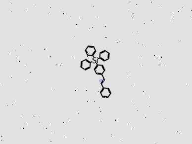 C(=C\c1ccc([Si](c2ccccc2)(c2ccccc2)c2ccccc2)cc1)/c1ccccc1